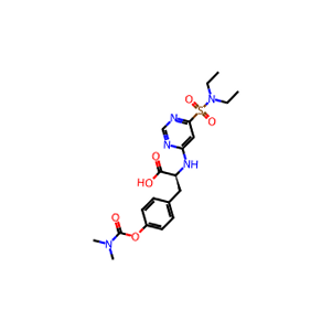 CCN(CC)S(=O)(=O)c1cc(N[C@@H](Cc2ccc(OC(=O)N(C)C)cc2)C(=O)O)ncn1